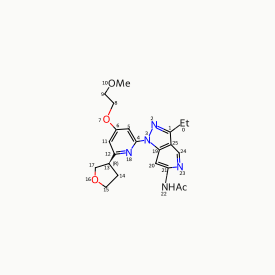 CCc1nn(-c2cc(OCCOC)cc([C@H]3CCOC3)n2)c2cc(NC(C)=O)ncc12